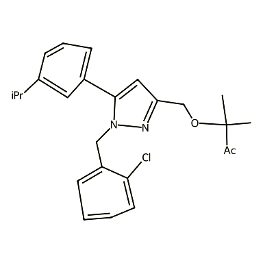 CC(=O)C(C)(C)OCc1cc(-c2cccc(C(C)C)c2)n(Cc2ccccc2Cl)n1